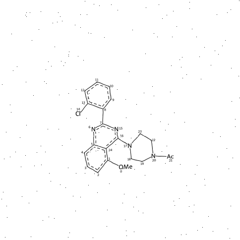 COc1cccc2nc(-c3ccccc3Cl)nc(N3CCN(C(C)=O)CC3)c12